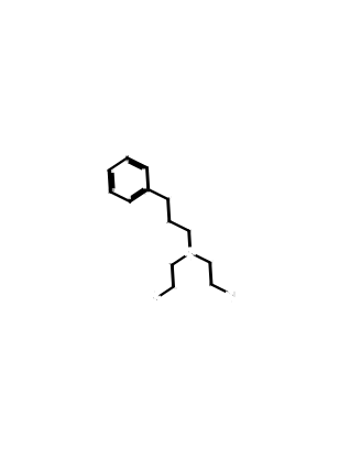 NCCN(CCN)CCCc1ccccc1